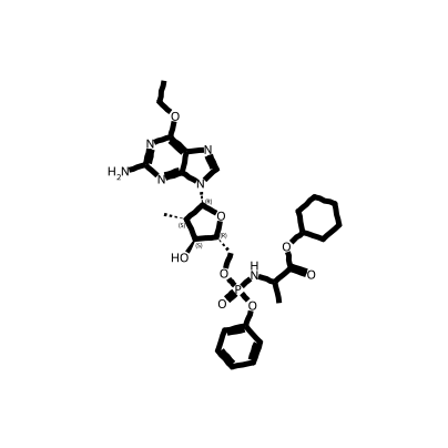 CCOc1nc(N)nc2c1ncn2[C@@H]1O[C@H](COP(=O)(NC(C)C(=O)OC2CCCCC2)Oc2ccccc2)[C@@H](O)[C@@H]1C